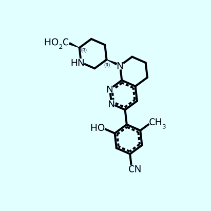 Cc1cc(C#N)cc(O)c1-c1cc2c(nn1)N([C@@H]1CC[C@H](C(=O)O)NC1)CCC2